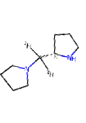 [2H]C([2H])([C@@H]1CCCN1)N1CCCC1